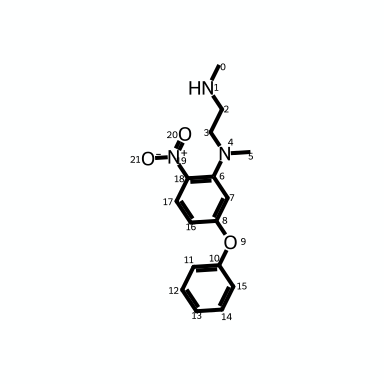 CNCCN(C)c1cc(Oc2ccccc2)ccc1[N+](=O)[O-]